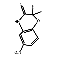 O=C1Nc2cc([N+](=O)[O-])ccc2OC1(F)F